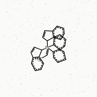 C[CH]=[Zr]([c]1ccccc1)([c]1ccccc1)([CH]1C=Cc2ccccc21)[CH]1C=Cc2ccccc21